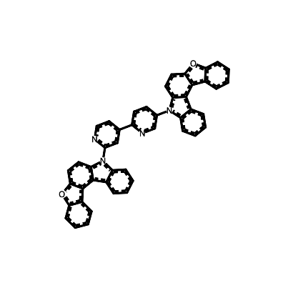 c1ccc2c(c1)oc1ccc3c(c4ccccc4n3-c3ccc(-c4ccnc(-n5c6ccccc6c6c7c(ccc65)oc5ccccc57)c4)nc3)c12